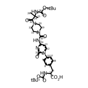 CC(C)(C)OC(=O)N[C@@H](Cc1ccc(-n2ccc(NC(=O)N3CCN(C(=O)C(C)(C)NC(=O)OC(C)(C)C)CC3)nc2=O)cc1)C(=O)O